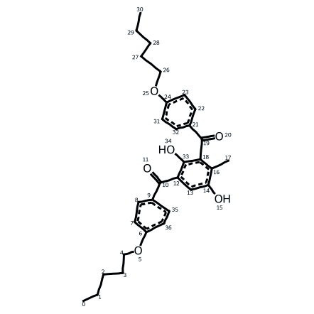 CCCCCOc1ccc(C(=O)c2cc(O)c(C)c(C(=O)c3ccc(OCCCCC)cc3)c2O)cc1